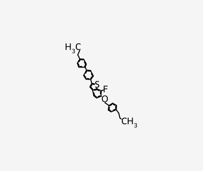 CCCc1ccc(COc2ccc3cc(-c4ccc(-c5ccc(CCC)cc5)cc4)sc3c2F)cc1